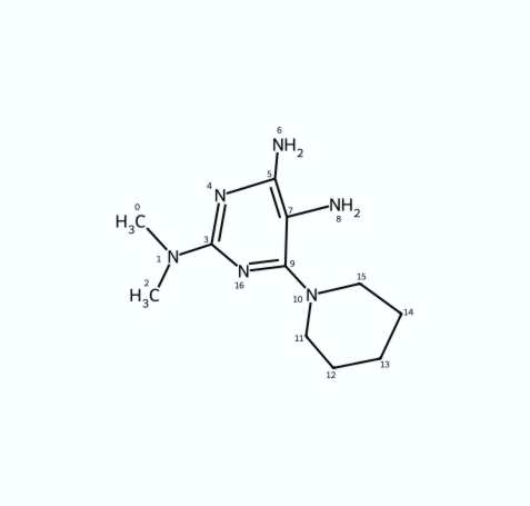 CN(C)c1nc(N)c(N)c(N2CCCCC2)n1